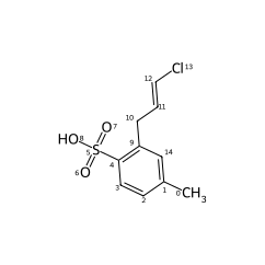 Cc1ccc(S(=O)(=O)O)c(CC=CCl)c1